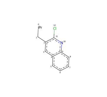 CC(C)Cc1cc2ccccc2nc1Cl